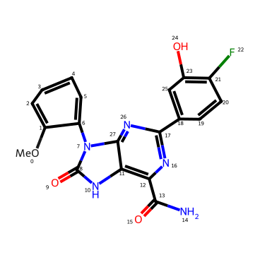 COc1ccccc1-n1c(=O)[nH]c2c(C(N)=O)nc(-c3ccc(F)c(O)c3)nc21